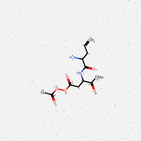 C=CCC(N)C(=O)NC(CC(=O)OOC(=O)CC)C(=O)OC